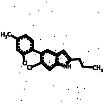 CCCc1cc2cc(-c3ccc(C)cc3Cl)c(Cl)cc2[nH]1